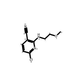 COCCNc1nc(Cl)ccc1C#N